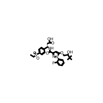 CCS(=O)(=O)c1ccc([C@H](CC(=O)O)NC(=O)c2cc(OC[C@@H](O)C(C)(C)C)n(-c3ccccc3F)n2)cc1